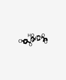 O=C(c1ccoc1)N1CCN([C@H]2CN(C(=O)c3ccc(Cl)cc3)C[C@@H]2O)CC1